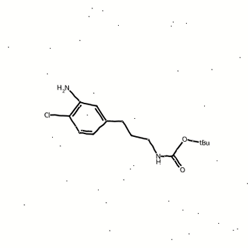 CC(C)(C)OC(=O)NCCCc1ccc(Cl)c(N)c1